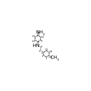 Cc1ccc(CCNc2ccc(N)cc2)cc1